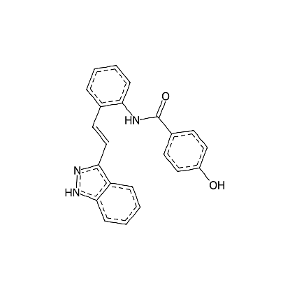 O=C(Nc1ccccc1C=Cc1n[nH]c2ccccc12)c1ccc(O)cc1